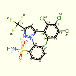 NS(=O)(=O)c1ccccc1-n1nc(C(F)(F)F)cc1-c1c(Cl)cc(Cl)c(Cl)c1Cl